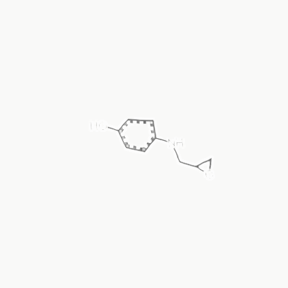 Oc1ccc(NCC2CO2)cc1